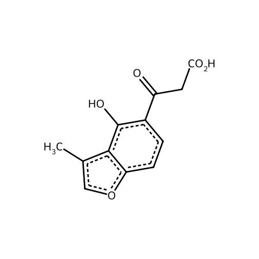 Cc1coc2ccc(C(=O)CC(=O)O)c(O)c12